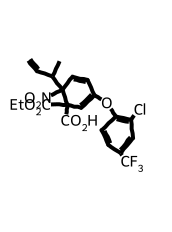 C=CC(C)C1([N+](=O)[O-])C=CC(Oc2ccc(C(F)(F)F)cc2Cl)=CC1(C(=O)O)C(=O)OCC